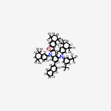 CC(C)(C)c1cc(N2c3cc4c(cc3B3c5c2cc(-c2ccc6ccccc6c2)cc5N(c2ccc5c(c2)C(C)(C)CCC5(C)C)c2oc5cc6c(cc5c23)C(C)(C)CCC6(C)C)C(C)(C)CCC4(C)C)cc(C(C)(C)C)c1